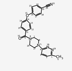 Cc1ccc(N2CCN(C(=O)c3ccc(Oc4ccc(C#N)cc4)cc3)CC2)nn1